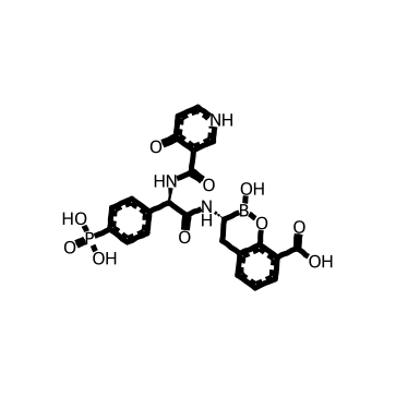 O=C(O)c1cccc2c1OB(O)[C@@H](NC(=O)[C@H](NC(=O)c1c[nH]ccc1=O)c1ccc(P(=O)(O)O)cc1)C2